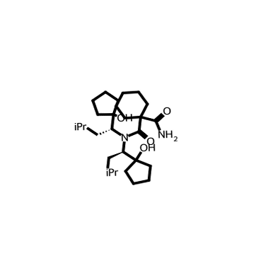 CC(C)C[C@@H](N(C(=O)C1(C(N)=O)CCCCC1)[C@H](CC(C)C)C1(O)CCCC1)C1(O)CCCC1